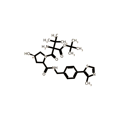 Cc1ncsc1-c1ccc(CNC(=O)C2C[C@@H](O)CN2C(=O)C(N)(C(=O)OC(C)(C)C)C(C)(C)C)cc1